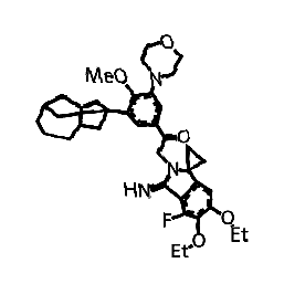 CCOc1cc2c(c(F)c1OCC)C(=N)N(CC(=O)c1cc(N3CCOCC3)c(OC)c(C34CC5CCCC(C3)C(C5)C4)c1)C21CC1